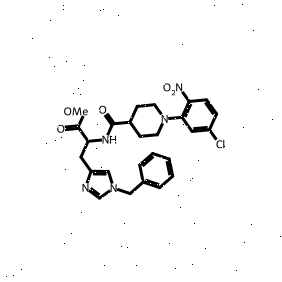 COC(=O)C(Cc1cn(Cc2ccccc2)cn1)NC(=O)C1CCN(c2cc(Cl)ccc2[N+](=O)[O-])CC1